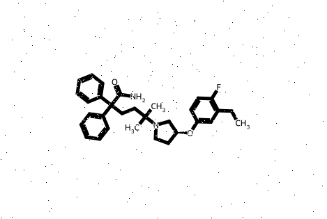 CCc1cc(O[C@H]2CCN(C(C)(C)CCC(C(N)=O)(c3ccccc3)c3ccccc3)C2)ccc1F